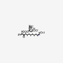 CCCCCCCC/C=C\CCCCCCCC(=O)NC(C)C.O=C([O-])CC(C(=O)[O-])S(=O)(=O)O.[Na+].[Na+]